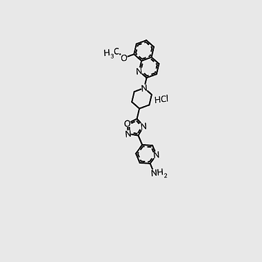 COc1cccc2ccc(N3CCC(c4nc(-c5ccc(N)nc5)no4)CC3)nc12.Cl